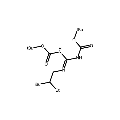 CCC(C)C(CC)CN=C(NC(=O)OC(C)(C)C)NC(=O)OC(C)(C)C